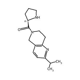 CC(C)c1ccc2c(n1)CCN(C(=O)[C@H]1CCCN1)C2